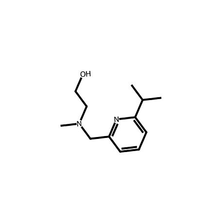 CC(C)c1cccc(CN(C)CCO)n1